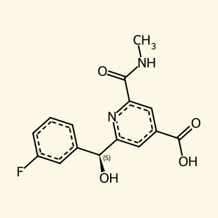 CNC(=O)c1cc(C(=O)O)cc([C@@H](O)c2cccc(F)c2)n1